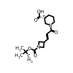 CC(C)(C)OC(=O)N1CC(C=CC(=O)N2CCC[C@@H](C(=O)O)C2)C1